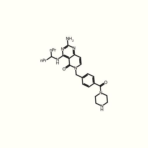 CCCC(CCC)Nc1nc(N)nc2ccn(Cc3ccc(C(=O)N4CCNCC4)cc3)c(=O)c12